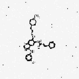 CN1CCC(CCCOc2cc3ncnc(Nc4cccc(Br)c4)c3cc2NC(=O)C=Cc2ccccc2)CC1